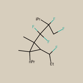 CCCC1(C)C(C(F)CC)C1(C)C(F)(F)C(F)(CF)C(C)C